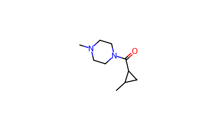 CC1CC1C(=O)N1CCN(C)CC1